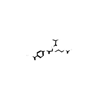 COC(=O)c1ccc(NC(=O)[C@H](CCCNC(N)=O)NC(=O)C(N)C(C)C)cc1